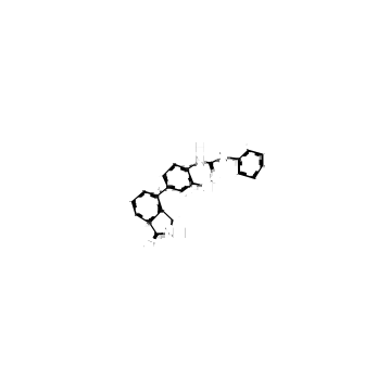 O=C(Nc1ccccc1)Nc1ccc(-c2cccc3c2CNC3=O)cc1Cl